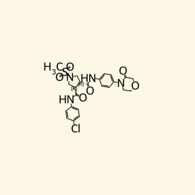 CS(=O)(=O)N1C[C@H](C(=O)Nc2ccc(Cl)cc2)[C@@H](C(=O)Nc2ccc(N3CCOCC3=O)cc2)C1